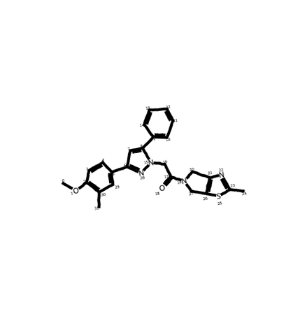 COc1ccc(-c2cc(-c3ccccc3)n(CC(=O)N3Cc4nc(C)sc4C3)n2)cc1C